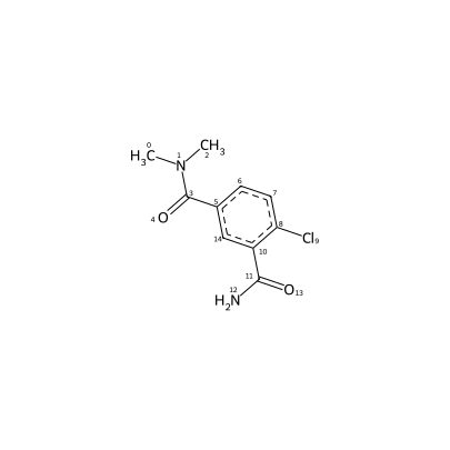 CN(C)C(=O)c1ccc(Cl)c(C(N)=O)c1